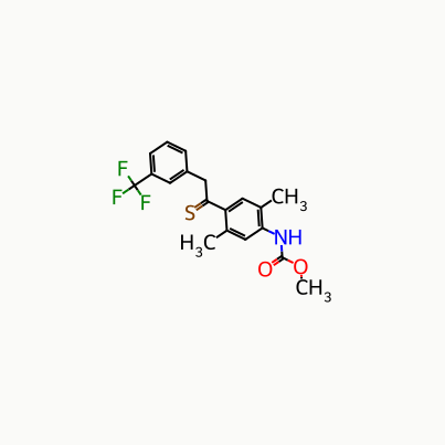 COC(=O)Nc1cc(C)c(C(=S)Cc2cccc(C(F)(F)F)c2)cc1C